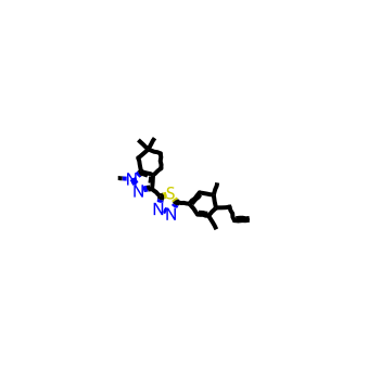 C=CCC1C(C)=CC(c2nnc(-c3nn(C)c4c3CCC(C)(C)C4)s2)=CC1C